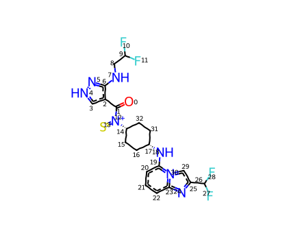 O=C(c1c[nH]nc1NCC(F)F)[N+](=S)[C@H]1CC[C@@H](Nc2cccc3nc(C(F)F)cn23)CC1